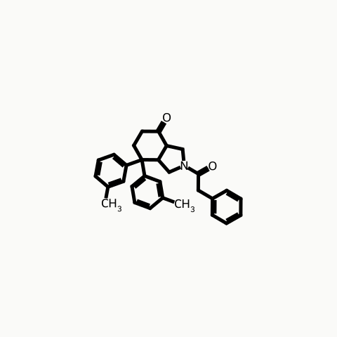 Cc1cccc(C2(c3cccc(C)c3)CCC(=O)C3CN(C(=O)Cc4ccccc4)CC32)c1